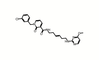 COc1ccnc(NCC/C=C/CCNC(=O)c2cccn(Cc3cccc(Cl)c3)c2=O)n1